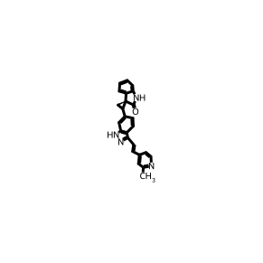 Cc1cc(/C=C/c2n[nH]c3cc(C4C[C@@]45C(=O)Nc4ccccc45)ccc23)ccn1